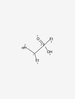 CCCC(CC)P(=O)(O)CC